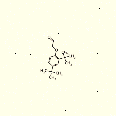 CC(C)(C)c1ccc(OC[C]=O)c(C(C)(C)C)c1